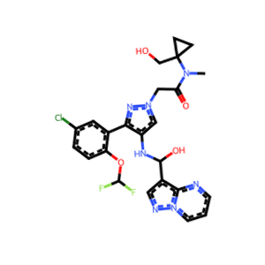 CN(C(=O)Cn1cc(NC(O)c2cnn3cccnc23)c(-c2cc(Cl)ccc2OC(F)F)n1)C1(CO)CC1